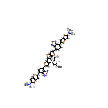 CCCCC(CC)C[Si]1(CC(CC)CCCC)c2cc(-c3ccc(-c4cc5sc(N(CCCC)CCCC)cc5s4)c4nsnc34)sc2-c2sc3cc(-c4ccc(-c5cc6sc(N(CCCC)CCCC)cc6s5)c5nsnc45)sc3c21